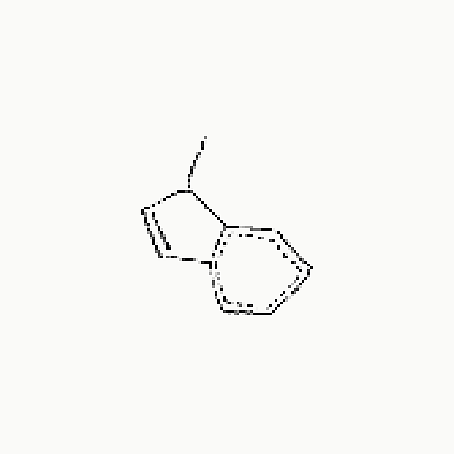 IC1C=Cc2ccccc21